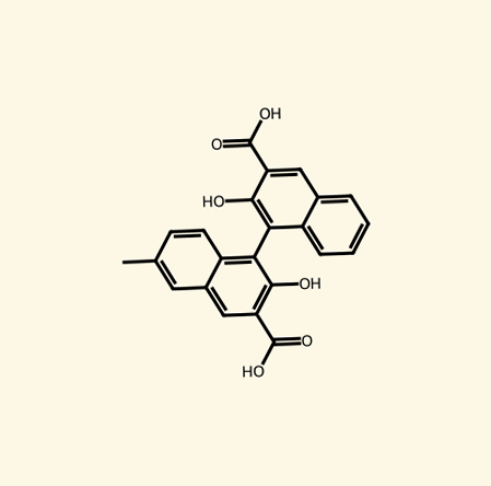 Cc1ccc2c(-c3c(O)c(C(=O)O)cc4ccccc34)c(O)c(C(=O)O)cc2c1